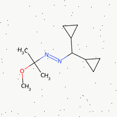 COC(C)(C)N=NC(C1CC1)C1CC1